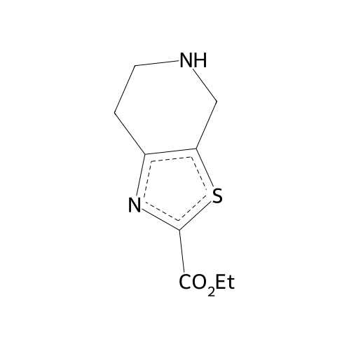 CCOC(=O)c1nc2c(s1)CNCC2